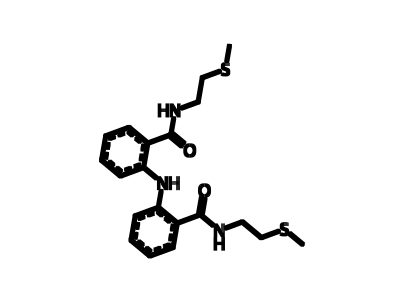 CSCCNC(=O)c1ccccc1Nc1ccccc1C(=O)NCCSC